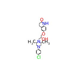 CC1CN(c2ccc(Cl)cc2)C[C@@H](C)N1C[C@H](O)COc1ccc2c(c1)CCC(=O)N2